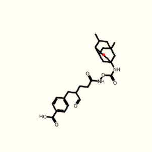 CC1CC2(C)CC3CC(NC(=O)ONC(=O)CCC(C=O)Cc4ccc(C(=O)O)cc4)(CCC13)C2